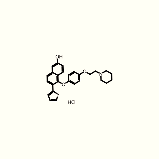 Cl.Oc1ccc2c(Oc3ccc(OCCN4CCCCC4)cc3)c(-c3cccs3)ccc2c1